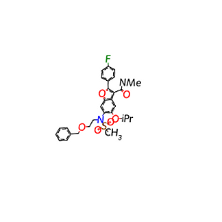 CNC(=O)c1c(-c2ccc(F)cc2)oc2cc(N(CCOCc3ccccc3)S(C)(=O)=O)c(OC(C)C)cc12